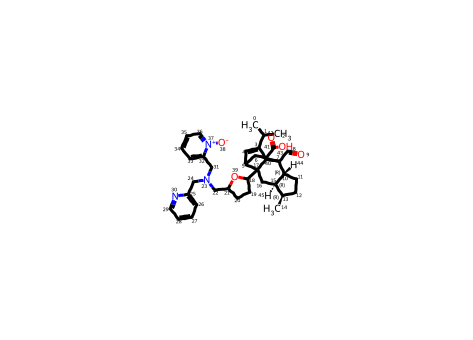 CC(C)C1=CC2CC3(C=O)[C@@H]4CC[C@@H](C)[C@H]4CC2(C2CCC(CN(Cc4ccccn4)Cc4cccc[n+]4[O-])O2)C13C(=O)O